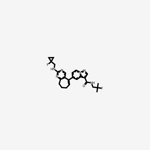 CC(C)(F)CNC(=O)c1cnn2ccc(C3=CCCCc4nc(NCC5(F)CC5)ncc43)cc12